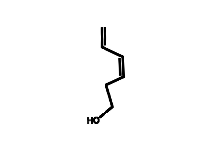 C=C/C=C\CCO